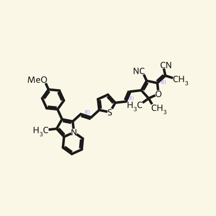 COc1ccc(-c2c(C)c3ccccn3c2/C=C/c2ccc(/C=C/C3=C(C#N)C(=C(/C)C#N)/OC3(C)C)s2)cc1